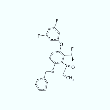 C=CC(=O)c1c(SCc2ccccc2)ccc(Oc2cc(F)cc(F)c2)c1C(F)F